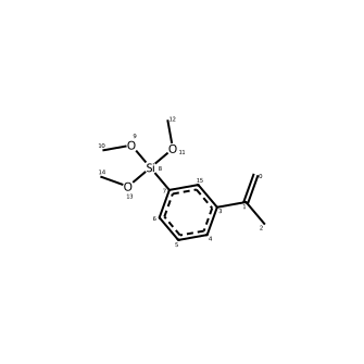 C=C(C)c1cccc([Si](OC)(OC)OC)c1